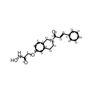 O=C(COc1ccc2c(c1)CCN(C(=O)C=Cc1ccccc1)C2)NO